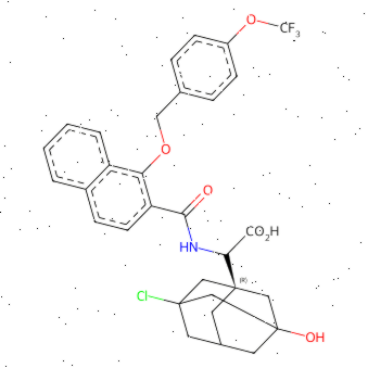 O=C(NC(C(=O)O)[C@@]12CC3CC(O)(CC(Cl)(C3)C1)C2)c1ccc2ccccc2c1OCc1ccc(OC(F)(F)F)cc1